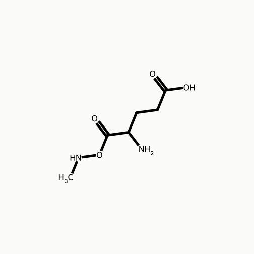 CNOC(=O)C(N)CCC(=O)O